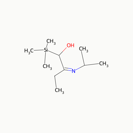 CCC(=NC(C)C)C(O)[Si](C)(C)C